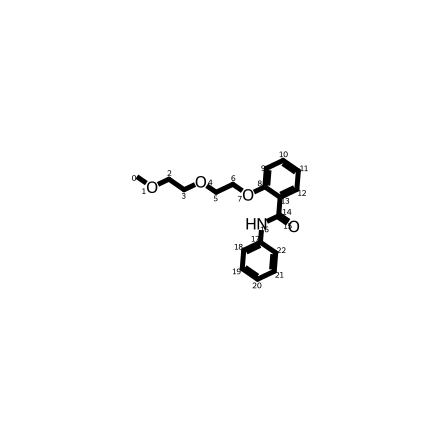 COCCOCCOc1ccccc1C(=O)Nc1ccccc1